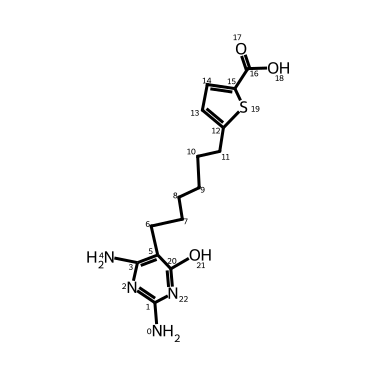 Nc1nc(N)c(CCCCCCc2ccc(C(=O)O)s2)c(O)n1